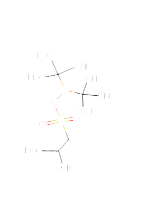 CC(C)CS(=O)(=O)OP(C(C)(C)C)C(C)(C)C